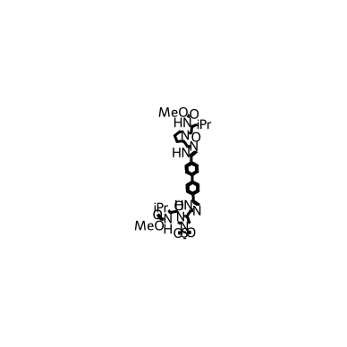 COC(=O)NC(C(=O)N1CCCC1c1ncc(-c2ccc(-c3ccc(-c4cnc(C5CN(S(C)(=O)=O)CN5C(=O)C(NC(=O)OC)C(C)C)[nH]4)cc3)cc2)[nH]1)C(C)C